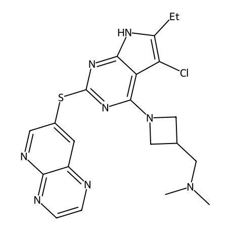 CCc1[nH]c2nc(Sc3cnc4nccnc4c3)nc(N3CC(CN(C)C)C3)c2c1Cl